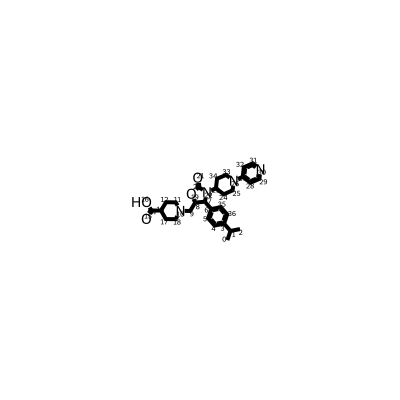 CC(C)c1ccc(C2C(CN3CCC(C(=O)O)CC3)OC(=O)N2C2CCN(c3ccncc3)CC2)cc1